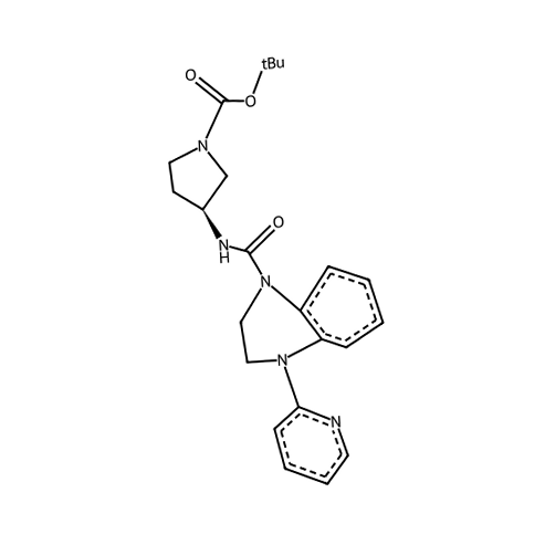 CC(C)(C)OC(=O)N1CC[C@H](NC(=O)N2CCN(c3ccccn3)c3ccccc32)C1